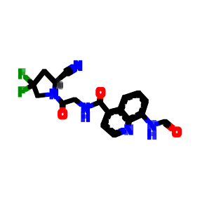 N#C[C@@H]1CC(F)(F)CN1C(=O)CNC(=O)c1ccnc2c(NC=O)cccc12